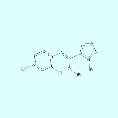 CCC(C)OC(=Nc1ccc(Cl)cc1Cl)c1cncn1C(C)C